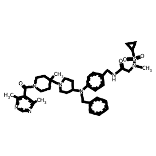 Cc1ncnc(C)c1C(=O)N1CCC(C)(N2CCC(N(Cc3ccccc3)c3ccc(CNC(=O)CN(C)S(=O)(=O)C4CC4)cc3)CC2)CC1